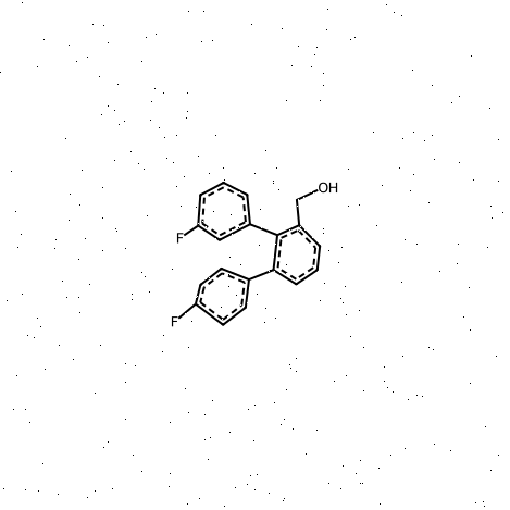 OCc1cccc(-c2ccc(F)cc2)c1-c1cccc(F)c1